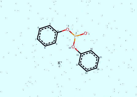 [K+].[O-]P(Oc1ccccc1)Oc1ccccc1